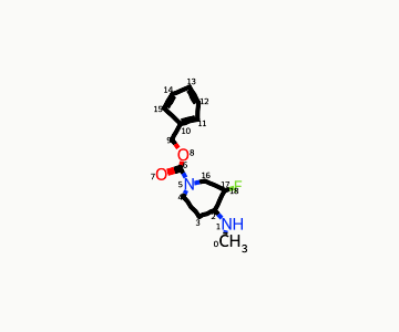 CNC1CCN(C(=O)OCc2ccccc2)CC1F